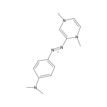 CN1C=CN(C)C(/N=N/c2ccc(N(C)C)cc2)=C1